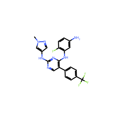 Cn1cc(Nc2ncc(-c3ccc(C(F)(F)F)cc3)c(Nc3cc(N)ccc3F)n2)cn1